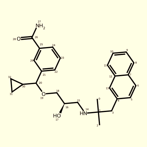 CC(C)(Cc1ccc2ccccc2c1)NC[C@@H](O)COC(c1cccc(C(N)=O)c1)C1CC1